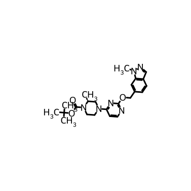 C[C@H]1CN(c2ccnc(OCc3ccc4cnn(C)c4c3)n2)CCN1C(=O)OC(C)(C)C